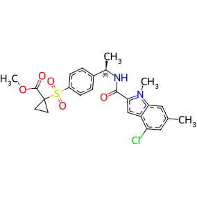 COC(=O)C1(S(=O)(=O)c2ccc([C@@H](C)NC(=O)c3cc4c(Cl)cc(C)cc4n3C)cc2)CC1